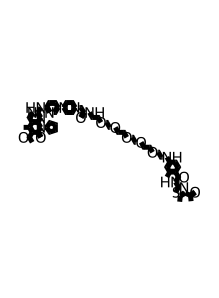 CC(=O)c1nc(NC(=O)c2ccc(NCCOCCOCCOCCOCCOCCNC(=O)CN3CCN(c4ccc(Nc5ncc6c(C)c(C(C)=O)c(=O)n(C7CCCC7)c6n5)nc4)CC3)cc2C)sc1C